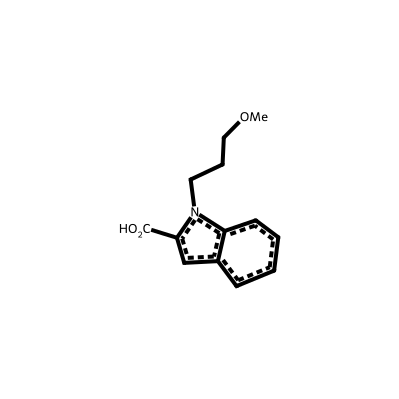 COCCCn1c(C(=O)O)cc2ccccc21